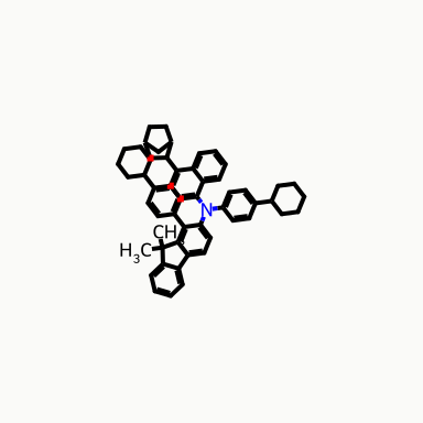 CC1(C)c2ccccc2-c2ccc(N(c3ccc(C4CCCCC4)cc3)c3ccc(C4CC5CCC4C5)c4ccccc34)c(-c3ccc(C4CCCCC4)cc3)c21